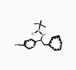 CC(C)(C)[S+]([O-])NC(Cc1ccccc1)c1ccc(Br)cn1